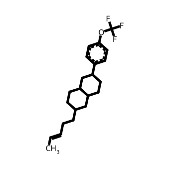 C/C=C/CCC1CCC2CC(c3ccc(OC(F)(F)F)cc3)CCC2C1